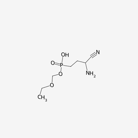 CCOCOP(=O)(O)CCC(N)C#N